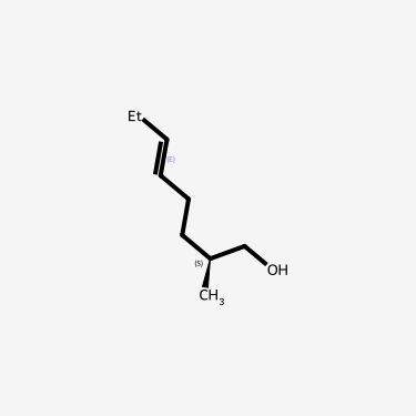 CC/C=C/CC[C@H](C)CO